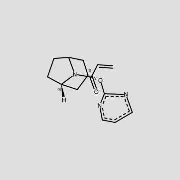 C=CC(=O)N1C2CC[C@H]1C[C@@H](Oc1ncccn1)C2